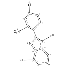 O=[N+]([O-])c1cc(Cl)ccc1-c1nc2c(F)cccc2n1F